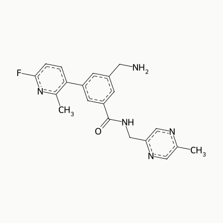 Cc1cnc(CNC(=O)c2cc(CN)cc(-c3ccc(F)nc3C)c2)cn1